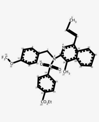 CC=Cc1nc(N(Cc2ccc(OC(F)(F)F)cc2)S(=O)(=O)c2ccc(C(=O)OCC)cc2)c(C)c2ccccc12